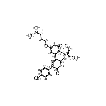 CN(C)CCCOc1ccc2c(c1)C1=NN(c3ccc(Cl)cc3)C(=O)CC1CS2.O=C(O)C=CC(=O)O